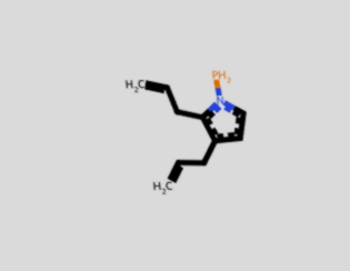 C=CCc1ccn(P)c1CC=C